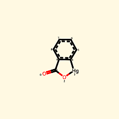 O=C1[O][Hg][c]2ccccc21